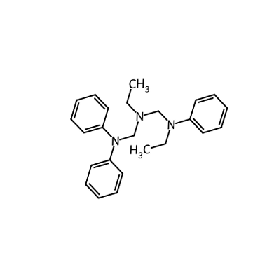 CCN(CN(CC)c1ccccc1)CN(c1ccccc1)c1ccccc1